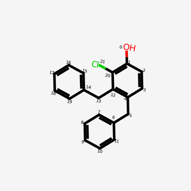 Oc1ccc(Cc2ccccc2)c(Cc2ccccc2)c1Cl